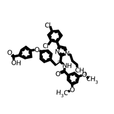 CCCCn1cc(-c2ccc(Cl)cc2Cl)nc1[C@H](Cc1ccc(Oc2ccc(C(=O)O)cc2)cc1)NC(=O)c1cc(OC)cc(OC)c1